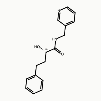 O=C(NCc1cccnc1)[C@@H](O)CCc1ccccc1